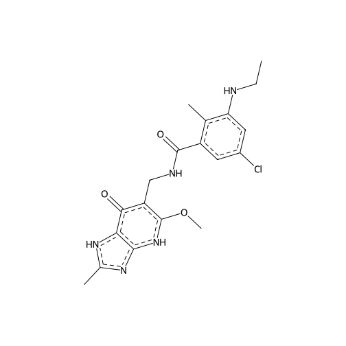 CCNc1cc(Cl)cc(C(=O)NCc2c(OC)[nH]c3nc(C)[nH]c3c2=O)c1C